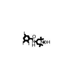 CC1(C)CC(NC(=O)c2cc(I)cc(I)c2I)CC(C)(C)N1O